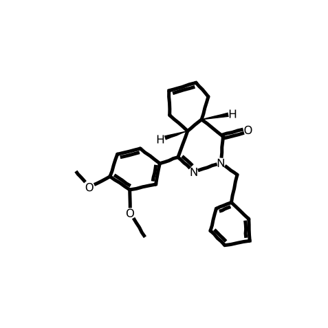 COc1ccc(C2=NN(Cc3ccccc3)C(=O)[C@H]3CC=CC[C@@H]23)cc1OC